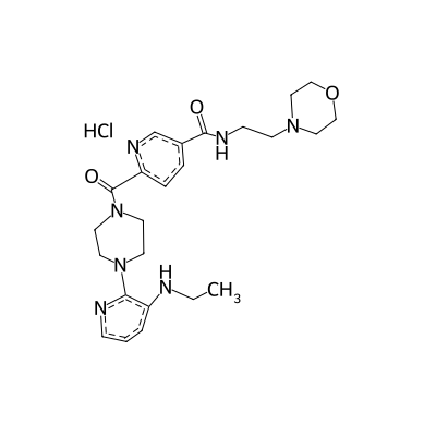 CCNc1cccnc1N1CCN(C(=O)c2ccc(C(=O)NCCN3CCOCC3)cn2)CC1.Cl